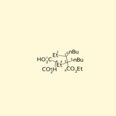 CCCCC(CC)C(CC)(CCCC)C(=O)OCC.O=C(O)CC(=O)O